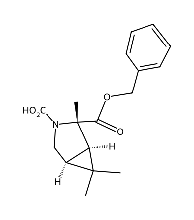 CC1(C)[C@H]2[C@@H]1CN(C(=O)O)[C@]2(C)C(=O)OCc1ccccc1